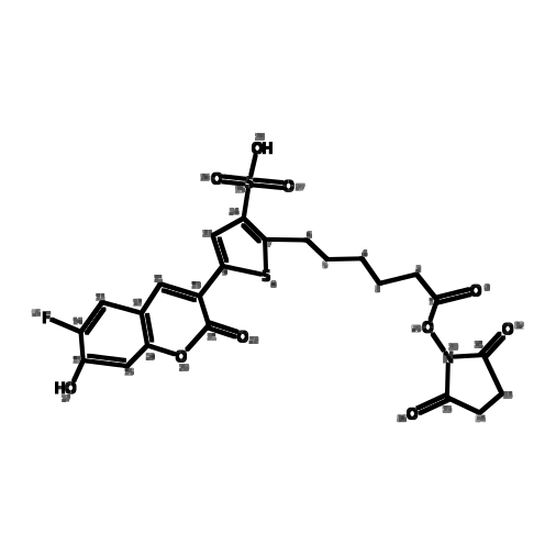 O=C(CCCCCc1sc(-c2cc3cc(F)c(O)cc3oc2=O)cc1S(=O)(=O)O)ON1C(=O)CCC1=O